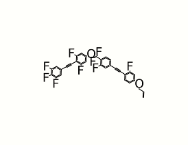 C=CCOc1ccc(C#Cc2ccc(C(F)(F)Oc3cc(F)c(C#Cc4cc(F)c(F)c(F)c4)c(F)c3)c(F)c2)c(F)c1